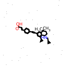 CC1(C)CCC(NCC2CC2)c2c(C3CC3)cc(C#Cc3ccc(C=CC(=O)O)cc3)cc21